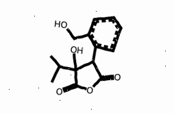 CC(C)C1(O)C(=O)OC(=O)C1c1ccccc1CO